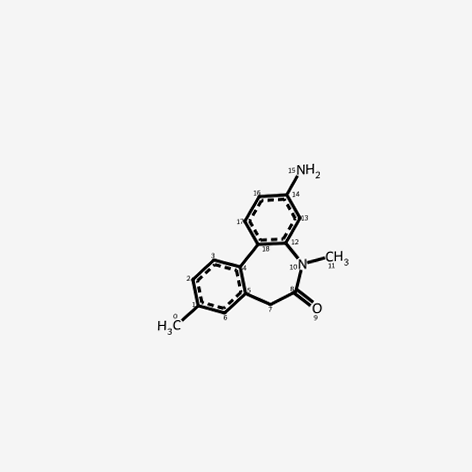 Cc1ccc2c(c1)CC(=O)N(C)c1cc(N)ccc1-2